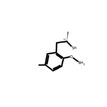 BOc1ccc(C)cc1C[C@H](C)S